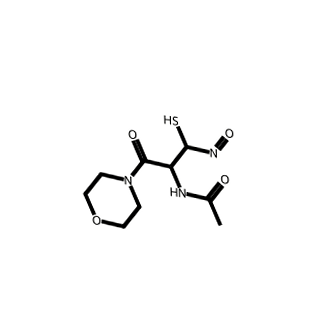 CC(=O)NC(C(=O)N1CCOCC1)C(S)N=O